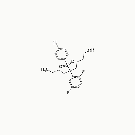 CCCCC(CCCCO)(c1cc(F)ccc1F)S(=O)(=O)c1ccc(Cl)cc1